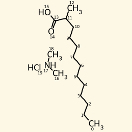 CCCCCCCCCCCC(C)C(=O)O.CNC.Cl